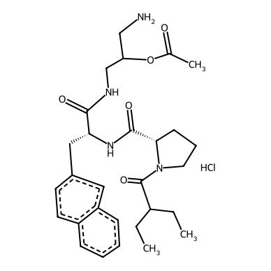 CCC(CC)C(=O)N1CCC[C@H]1C(=O)N[C@H](Cc1ccc2ccccc2c1)C(=O)NCC(CN)OC(C)=O.Cl